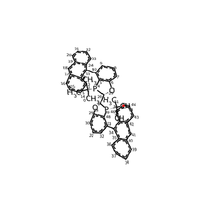 CC(C)(C)[P@]1c2c(cccc2-c2c3ccccc3cc3ccccc23)O[C@@H]1[C@H]1Oc2cccc(-c3c4ccccc4cc4ccccc34)c2[P@@]1C(C)(C)C